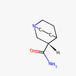 NC(=O)[C@@H]1CN2CCC1CC2